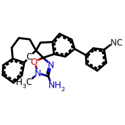 [C-]#[N+]c1cccc(-c2ccc3c(c2)C2(N=C(N)N(C)O2)C2(CCCc4ccccc4C2)C3)c1